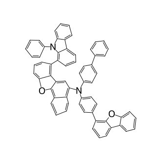 c1ccc(-c2ccc(N(c3ccc(-c4cccc5c4oc4ccccc45)cc3)c3cc4c(oc5cccc(-c6cccc7c8ccccc8n(-c8ccccc8)c67)c54)c4ccccc34)cc2)cc1